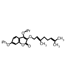 CC(C)=CCC/C(C)=C/COc1c(OC(C)C)c2ccc(OC(C)C)cc2oc1=O